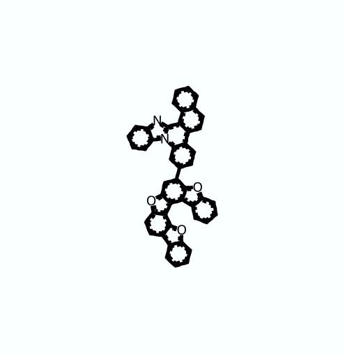 c1ccc2c(c1)ccc1c3ccc(-c4cc5oc6ccc7c8ccccc8oc7c6c5c5c4oc4ccccc45)cc3n3c4ccccc4nc3c21